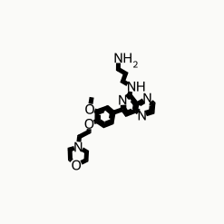 COc1cc(-c2cc3nccnc3c(NCCCN)n2)ccc1OCCN1CCOCC1